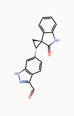 O=Cc1n[nH]c2cc([C@@H]3C[C@@]34C(=O)Nc3ccccc34)ccc12